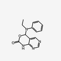 CCN(c1ccccc1)C1OC(=O)Nc2ncncc21